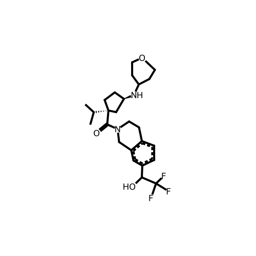 CC(C)[C@]1(C(=O)N2CCc3ccc(C(O)C(F)(F)F)cc3C2)CC[C@@H](NC2CCOCC2)C1